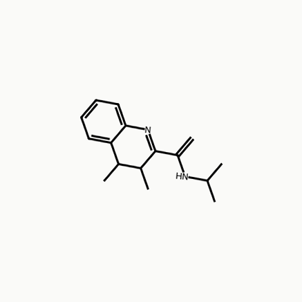 C=C(NC(C)C)C1=Nc2ccccc2C(C)C1C